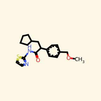 COCc1ccc(C(CC2CCCC2)C(=O)Nc2nccs2)cc1